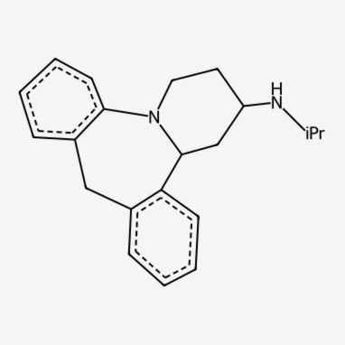 CC(C)NC1CCN2c3ccccc3Cc3ccccc3C2C1